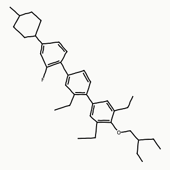 CCc1cc(-c2ccc(C3CCC(C)CC3)cc2F)ccc1-c1cc(CC)c(OCC(CC)CC)c(CC)c1